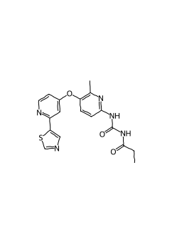 CCC(=O)NC(=O)Nc1ccc(Oc2ccnc(-c3cncs3)c2)c(C)n1